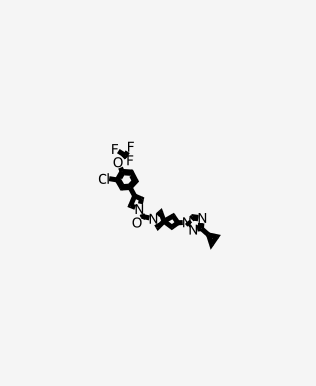 O=C(N1CC(c2ccc(OC(F)(F)F)c(Cl)c2)C1)N1CC2(CC(n3cnc(C4CC4)n3)C2)C1